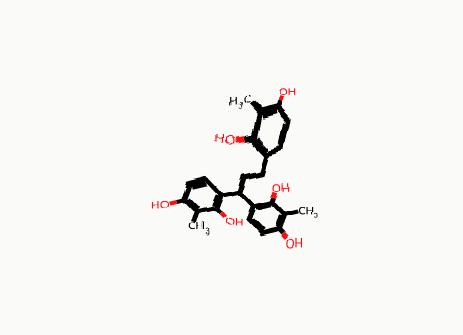 Cc1c(O)ccc(CCC(c2ccc(O)c(C)c2O)c2ccc(O)c(C)c2O)c1O